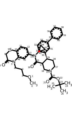 COCCCN1C(=O)CSc2ccc(N(C(=O)C3CN(C(=O)OC(C)(C)C)CC[C@@H]3c3cccc(-c4ccccc4)c3)C3CC3)cc21